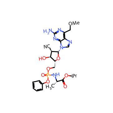 COCc1nc(N)nc2c1ncn2[C@@H]1O[C@H](COP(=O)(N[C@@H](C)C(=O)OC(C)C)Oc2ccccc2)[C@@H](O)[C@H]1C#N